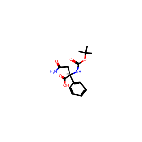 CC(C)(C)OC(=O)N[C@@](CC(N)=O)(C(=O)O)c1ccccc1